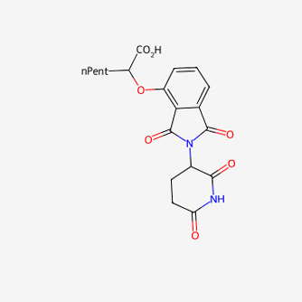 CCCCCC(Oc1cccc2c1C(=O)N(C1CCC(=O)NC1=O)C2=O)C(=O)O